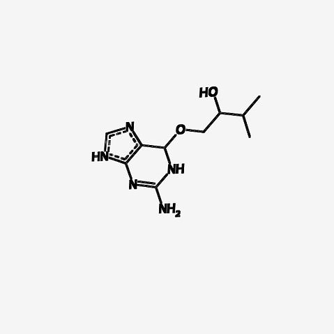 CC(C)C(O)COC1NC(N)=Nc2[nH]cnc21